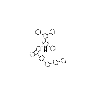 c1ccc(C2=NC(c3cc(-c4ccccc4)cc(-c4ccccc4)c3)=NC(c3ccc4c5ccccc5n(-c5ccc(-c6cccc(-c7ccc(-c8ccccc8)cc7)c6)cc5)c4c3)N2)cc1